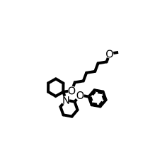 COCCCCCCOC1(N2CCCCC2Oc2ccccc2)CCCCC1